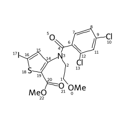 COCCN(C(=O)c1ccc(Cl)cc1Cl)c1cc(I)sc1C(=O)OC